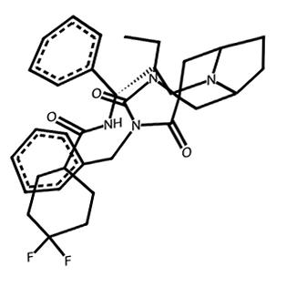 CCN1C(=O)N(Cc2ccccc2)C(=O)C12CC1CCC(C2)N1CC[C@H](NC(=O)C1CCC(F)(F)CC1)c1ccccc1